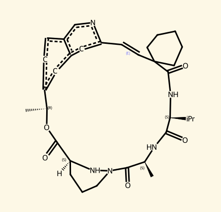 CC(C)[C@@H]1NC(=O)C2(/C=C/c3cc4cc(ccc4cn3)[C@@H](C)OC(=O)[C@@H]3CCCN(N3)C(=O)[C@H](C)NC1=O)CCCCC2